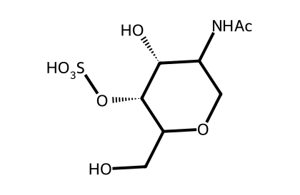 CC(=O)NC1COC(CO)[C@H](OS(=O)(=O)O)[C@@H]1O